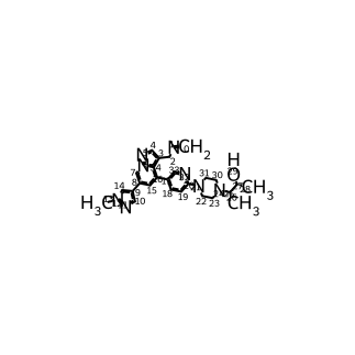 C=NCc1cnn2cc(-c3cnn(C)c3)cc(-c3ccc(N4CCN([C@H](C)[C@H](C)O)CC4)nc3)c12